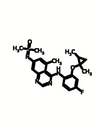 Cc1cc(N=S(C)(C)=O)cc2ncnc(Nc3ccc(F)cc3OC3(C)CC3C)c12